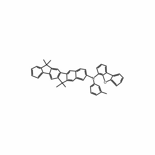 Cc1cccc(N(c2ccc3cc4c(cc3c2)C(C)(C)c2cc3c(cc2-4)C(C)(C)c2ccccc2-3)c2cccc3c2oc2ccccc23)c1